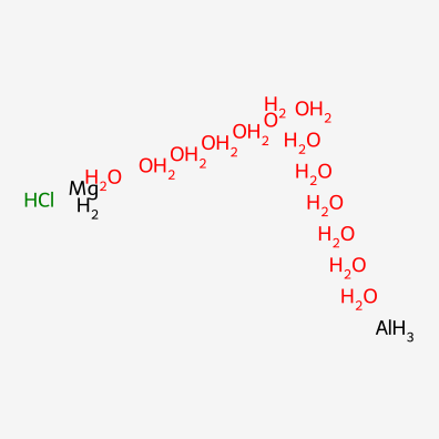 Cl.O.O.O.O.O.O.O.O.O.O.O.O.O.[AlH3].[MgH2]